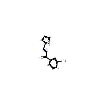 O=C(/C=C/c1ccco1)c1cccc(F)c1